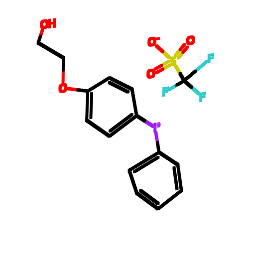 O=S(=O)([O-])C(F)(F)F.OCCOc1ccc([I+]c2ccccc2)cc1